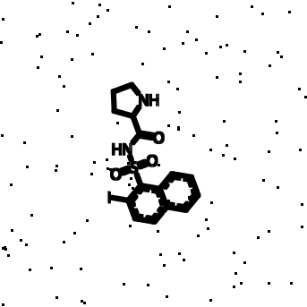 O=C(NS(=O)(=O)c1c(I)ccc2ccccc12)C1CCCN1